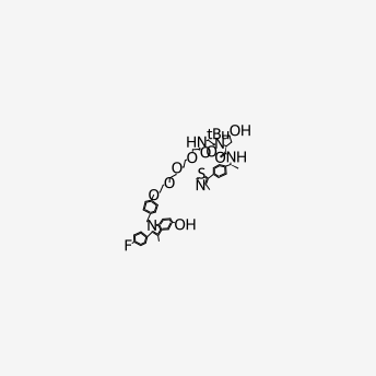 Cc1ncsc1-c1ccc([C@H](C)NC(=O)[C@@H]2C[C@@H](O)CN2C(=O)[C@@H](NC(=O)COCCOCCOCCOc2ccc(Cn3c(-c4ccc(F)cc4)c(C)c4cc(O)ccc43)cc2)C(C)(C)C)cc1